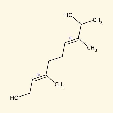 C/C(=C\CO)CC/C=C(\C)C(C)O